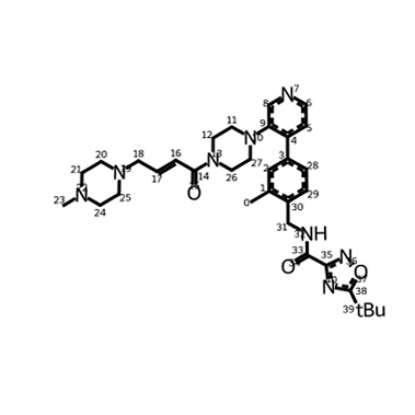 Cc1cc(-c2ccncc2N2CCN(C(=O)C=CCN3CCN(C)CC3)CC2)ccc1CNC(=O)c1noc(C(C)(C)C)n1